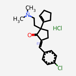 CN(C)CCC1(C2=CCCC2)CC/C(=C\c2ccc(Cl)cc2)C1=O.Cl